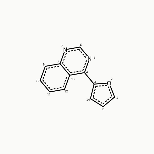 c1coc(-c2ncnc3ccccc23)c1